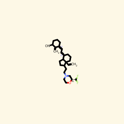 C=CC12CCC/C(=C\C=C3\CCCC(N=O)C3=C)C1CCC2CCN1CCO[C@@H](C(F)F)C1